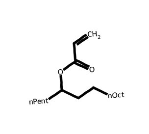 C=CC(=O)OC(CCCCC)CCCCCCCCCC